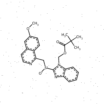 COc1ccc2c(C[S+]([O-])c3nc4ccccc4n3COC(=O)C(C)(C)C)nccc2c1